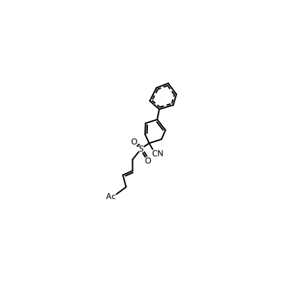 CC(=O)CC=CCS(=O)(=O)C1(C#N)C=CC(c2ccccc2)=CC1